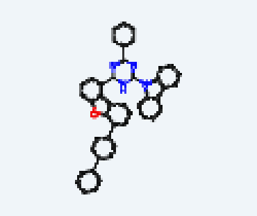 c1ccc(C2=NC(c3cccc4oc5c(-c6ccc(-c7ccccc7)cc6)cccc5c34)NC(n3c4ccccc4c4ccccc43)=N2)cc1